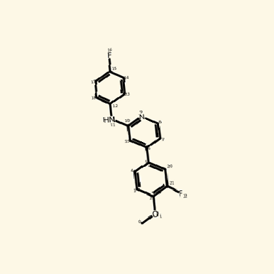 COc1ccc(-c2ccnc(Nc3ccc(F)cc3)c2)cc1F